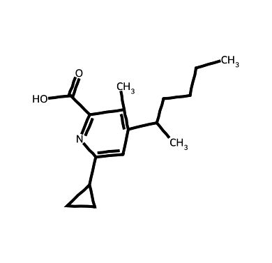 CCCCC(C)c1cc(C2CC2)nc(C(=O)O)c1C